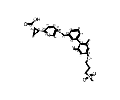 Cc1cc(OCCCS(C)(=O)=O)cc(C)c1-c1cccc(COc2ccc([C@H]3C[C@@H]3C(=O)O)nc2)c1